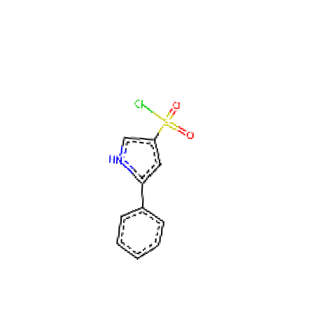 O=S(=O)(Cl)c1c[nH]c(-c2ccccc2)c1